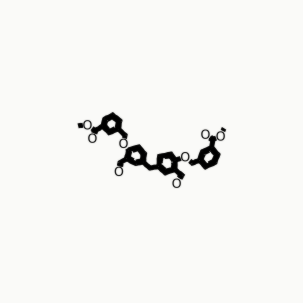 COC(=O)c1cccc(COc2ccc(Cc3ccc(OCc4cccc(C(=O)OC)c4)c(C=O)c3)cc2C=O)c1